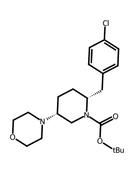 CC(C)(C)OC(=O)N1C[C@H](N2CCOCC2)CC[C@@H]1Cc1ccc(Cl)cc1